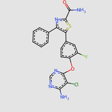 NC(=O)c1nc(-c2ccccc2)c(-c2ccc(Oc3ncnc(N)c3Cl)c(F)c2)s1